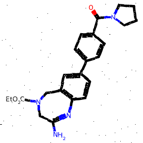 CCOC(=O)N1CC(N)=Nc2ccc(-c3ccc(C(=O)N4CCCC4)cc3)cc2C1